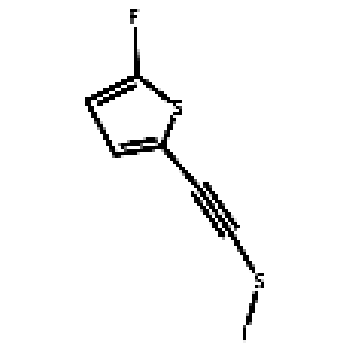 Fc1ccc(C#CSI)s1